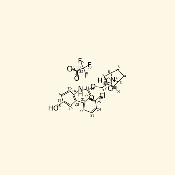 C[N+]1(C)C2CCC1CC(COC(=O)Nc1ccc(O)cc1-c1cccc(Cl)c1)C2.O=C([O-])C(F)(F)F